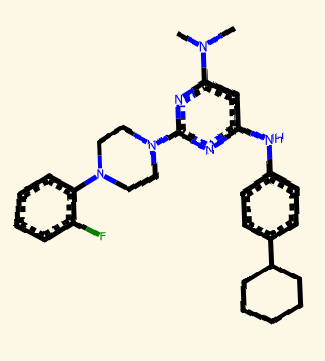 CN(C)c1cc(Nc2ccc(C3CCCCC3)cc2)nc(N2CCN(c3ccccc3F)CC2)n1